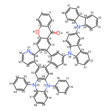 O=c1c2ccccc2oc2cc3c(cc12)c1cc(-n2c4ccccc4c4cc(-n5c6ccccc6c6ccccc65)ccc42)ccc1c1cc2c(cc1c1cccnc13)n(-c1ccccc1)c1ccccc1n2-c1ccccc1